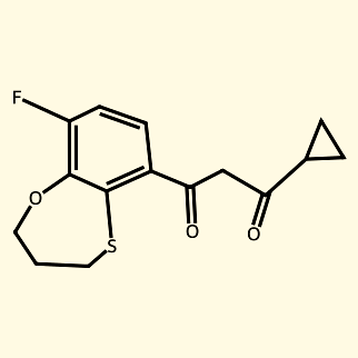 O=C(CC(=O)C1CC1)c1ccc(F)c2c1SCCCO2